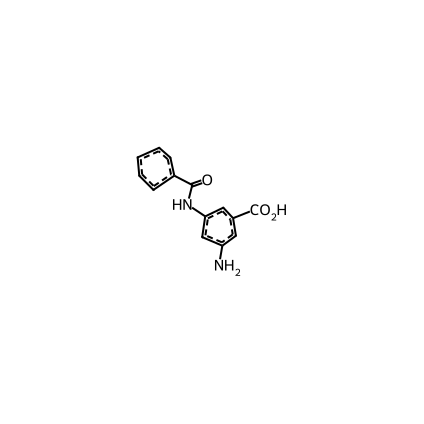 Nc1cc(NC(=O)c2ccccc2)cc(C(=O)O)c1